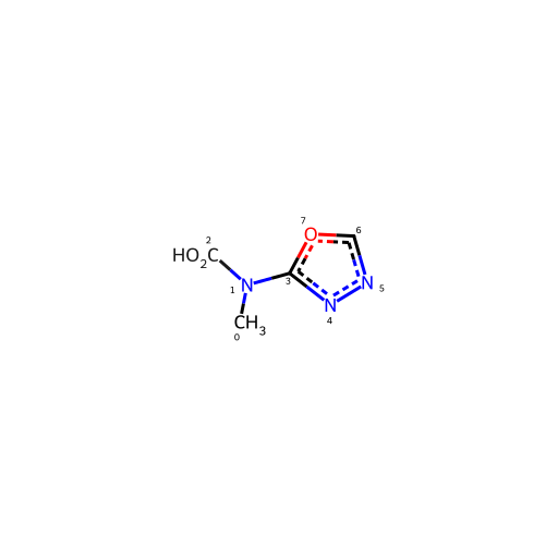 CN(C(=O)O)c1nnco1